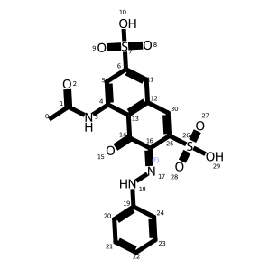 CC(=O)Nc1cc(S(=O)(=O)O)cc2c1C(=O)/C(=N\Nc1ccccc1)C(S(=O)(=O)O)=C2